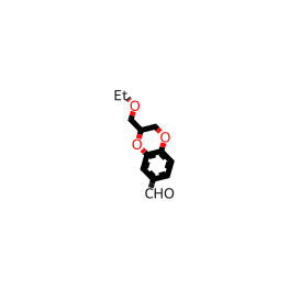 CCOCC1COc2ccc(C=O)cc2O1